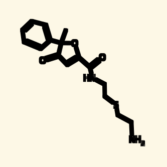 CC1(c2ccccc2)OC(C(=O)NCCSCCN)=CC1=O